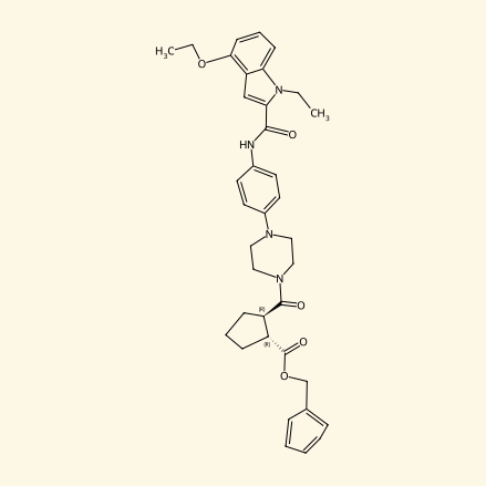 CCOc1cccc2c1cc(C(=O)Nc1ccc(N3CCN(C(=O)[C@@H]4CCC[C@H]4C(=O)OCc4ccccc4)CC3)cc1)n2CC